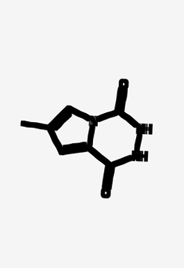 Cc1cc2c(=O)[nH][nH]c(=O)n2c1